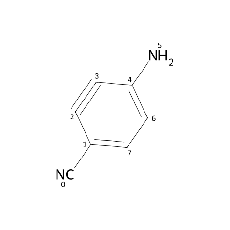 N#Cc1c#cc(N)cc1